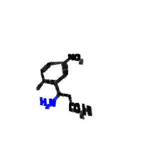 Cc1ccc([N+](=O)[O-])cc1C(N)CC(=O)O